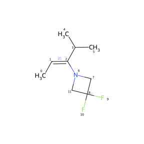 C/C=C(/C(C)C)N1CC(F)(F)C1